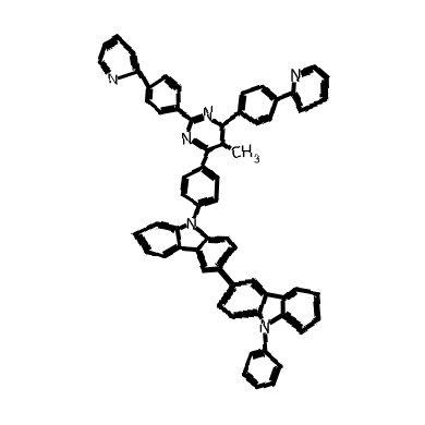 CC1C(c2ccc(-n3c4ccccc4c4cc(-c5ccc6c(c5)c5ccccc5n6-c5ccccc5)ccc43)cc2)=NC(c2ccc(-c3ccccn3)cc2)=NC1c1ccc(-c2ccccn2)cc1